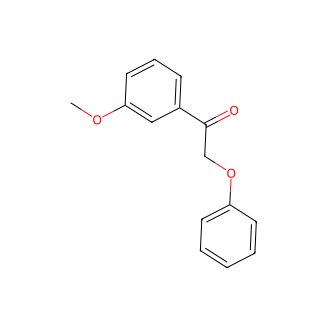 COc1cccc(C(=O)COc2ccccc2)c1